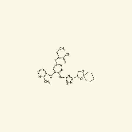 CC[C@H](Sc1cnc(Nc2nc(C3COC4(CCCCC4)O3)ns2)c(Oc2cccnc2C)c1)C(=O)O